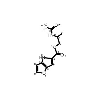 CC(COC(=O)c1cc2occc2[nH]1)NC(=O)C(F)(F)F